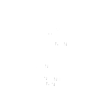 CCCc1nc(CC)c(C(=O)OCC)n1Cc1ccc2c(c1)CCc1ccccc1N2C(C)c1nnn[nH]1